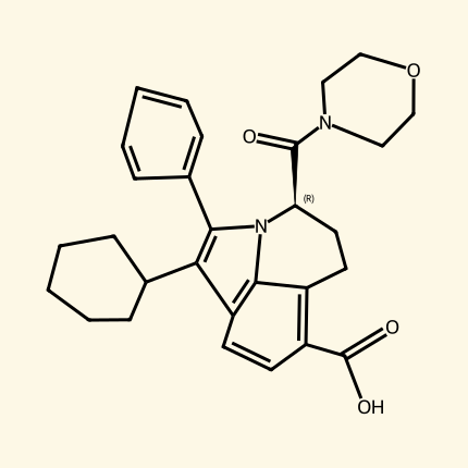 O=C(O)c1ccc2c(C3CCCCC3)c(-c3ccccc3)n3c2c1CC[C@@H]3C(=O)N1CCOCC1